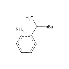 CCCCC(C)c1ccccc1.N